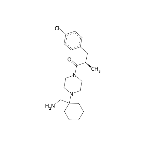 C[C@H](Cc1ccc(Cl)cc1)C(=O)N1CCN(C2(CN)CCCCC2)CC1